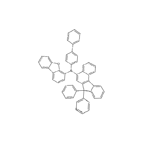 c1ccc(-c2ccc(N(c3cc4c(c5ccccc35)-c3ccccc3C4(c3ccccc3)c3ccccc3)c3cccc4c3oc3ccccc34)cc2)cc1